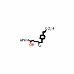 CCCCCC(O)CCCC(Cc1ccc(C=CC(=O)O)cc1)C(C)=O